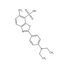 CCN(CC)c1ccc(-c2nc3ccc(C)c(S(=O)(=O)O)c3s2)cc1